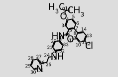 CC(C)Oc1ccc(-c2ccc(Cl)cc2)c(C(=O)Nc2ccc(NCCc3ccccn3)cc2)c1